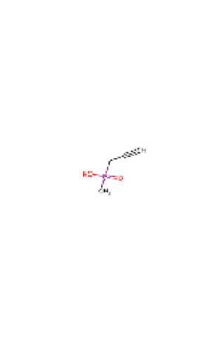 C#CCP(C)(=O)O